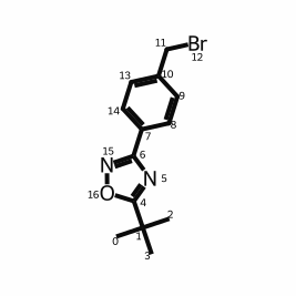 CC(C)(C)c1nc(-c2ccc(CBr)cc2)no1